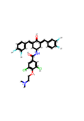 CN(C)CCOc1c(Cl)cc(C(=O)NC2CC(=Cc3ccc(F)c(F)c3)C(=O)C(=Cc3ccc(F)c(F)c3)C2)cc1Cl